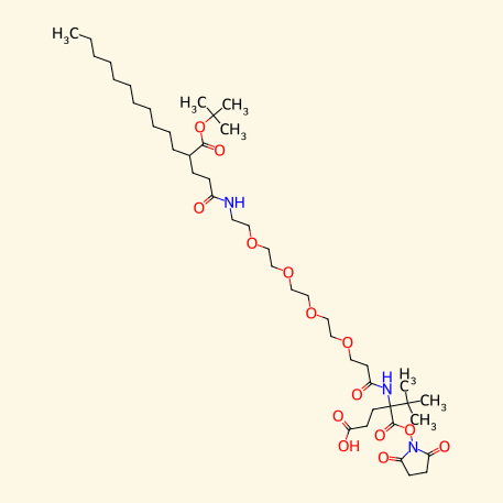 CCCCCCCCCCCC(CCC(=O)NCCOCCOCCOCCOCCC(=O)NC(CCC(=O)O)(C(=O)ON1C(=O)CCC1=O)C(C)(C)C)C(=O)OC(C)(C)C